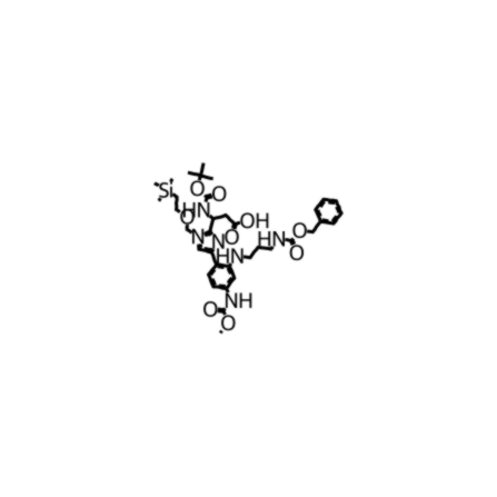 COC(=O)Nc1ccc(-c2cn(COCC[Si](C)(C)C)c(C(CC(=O)O)NC(=O)OC(C)(C)C)n2)c(NCCCNC(=O)OCc2ccccc2)c1